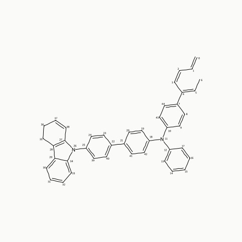 C=C/C=C\C(=C/C)c1ccc(N(c2ccccc2)c2ccc(-c3ccc(-n4c5c(c6ccccc64)CCC=C5)cc3)cc2)cc1